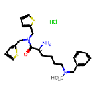 Cl.N[C@@H](CCCCN(Cc1ccccc1)C(=O)O)C(=O)N(Cc1cccs1)Cc1cccs1